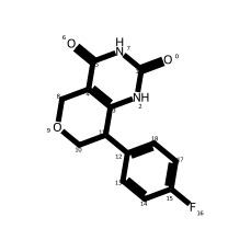 O=c1[nH]c2c(c(=O)[nH]1)COCC2c1ccc(F)cc1